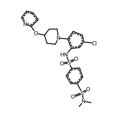 CN(C)S(=O)(=O)c1ccc(S(=O)(=O)Nc2cc(Cl)ccc2N2CCC(Oc3ccccn3)CC2)cc1